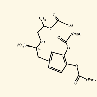 CCCCCC(=O)Oc1ccc(C[C@H](NCC(C)OC(=O)C(C)CC)C(=O)O)cc1OC(=O)CCCCC